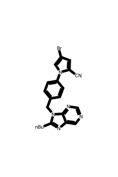 CCCCc1nc2cncnc2n1Cc1ccc(-n2cc(Br)cc2C#N)cc1